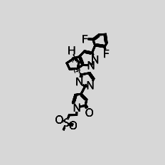 CS(=O)(=O)CCn1ccc(-c2nccc([C@]34CC[C@H](C3)c3cc(-c5c(F)cccc5F)nnc34)n2)cc1=O